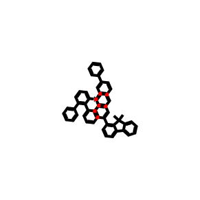 CC1(C)c2ccccc2-c2cccc(-c3ccc(N(c4cccc(-c5ccccc5)c4)c4cccc(-c5ccccc5)c4-c4ccccc4-c4ccccc4)cc3)c21